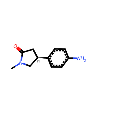 CN1C[C@H](c2ccc(N)cc2)CC1=O